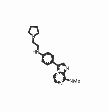 CNc1nccn2c(-c3ccc(NCCN4CCCC4)cc3)cnc12